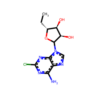 CC[C@H]1OC(n2cnc3c(N)nc(Cl)nc32)[C@H](O)[C@@H]1O